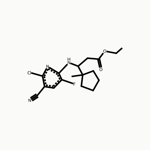 CCOC(=O)CC(Nc1nc(Cl)c(C#N)cc1F)C1(C)CCCC1